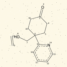 C=C.O=C1CCC(CO)(c2ccccn2)CC1